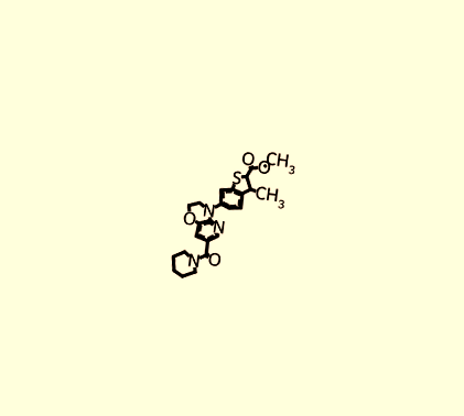 COC(=O)C1Sc2cc(N3CCOc4cc(C(=O)N5CCCCC5)cnc43)ccc2C1C